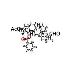 CC(=O)OC1CC2=CC=C3[C@@H]4CC[C@H](C(C)C=O)[C@@]4(C)CC[C@@H]3[C@@]2(C)C(OC(=O)c2ccccc2)C1